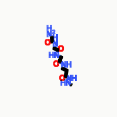 CNNC(=O)CCNC(=O)CNC(=O)CNC(=O)CN